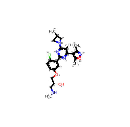 CNC[C@@H](O)COc1ccc(Cl)c(-c2nc(-c3c(C)noc3C)c(C)c(N3CC(C)C3)n2)c1